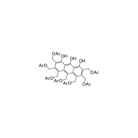 CC(=O)OCc1c(COC(C)=O)c(COC(C)=O)c2c(COC(C)=O)c3c(COC(C)=O)c(COC(C)=O)c(COC(C)=O)c(O)c3c(O)c2c1O